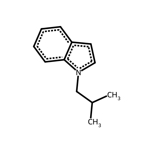 CC(C)Cn1ccc2ccccc21